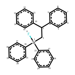 F[Si](CC(c1ccccc1)c1ccccc1)(c1ccccc1)c1ccccc1